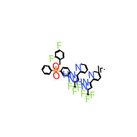 FC(F)(F)c1cc(-c2ccccn2)[nH]n1.FC(F)(F)c1cc(-c2ccccn2)[nH]n1.O=P(OCc1ccc(F)cc1F)(c1ccccc1)c1ccccc1.[Ir]